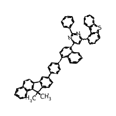 CC1(C)c2ccc(-c3ccc(-c4ccc(-c5cc(-c6cccc7sc8ccccc8c67)nc(-c6ccccc6)n5)c5ccccc45)cc3)cc2-c2ccc3ccccc3c21